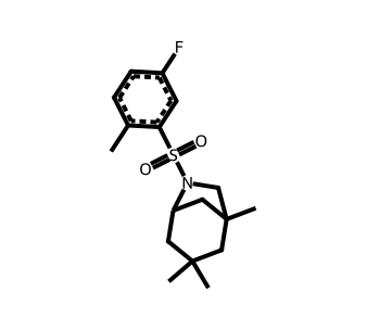 Cc1ccc(F)cc1S(=O)(=O)N1CC2(C)CC1CC(C)(C)C2